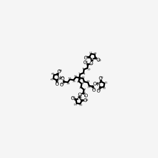 O=C(CCCCC(CCCCC(=O)ON1C(=O)CCC1=O)(CCCCC(=O)ON1C(=O)CCC1=O)CCCCC(=O)ON1C(=O)CCC1=O)ON1C(=O)CCC1=O